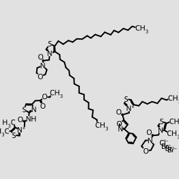 CCCCCCCCCCCCCCCCCCc1sc[n+](CC(=O)N2CCOCC2)c1CCCCCCCCCCCCCCCCCC.CCCCCCCCc1csc[n+]1CC(=O)c1cc(-c2ccccc2)no1.CCOC(=O)Cc1csc(NC(=O)C[n+]2csc(C)c2C)n1.Cc1sc[n+](CC(=O)N2CCOCC2)c1C.[Br-].[Br-].[Br-].[Cl-]